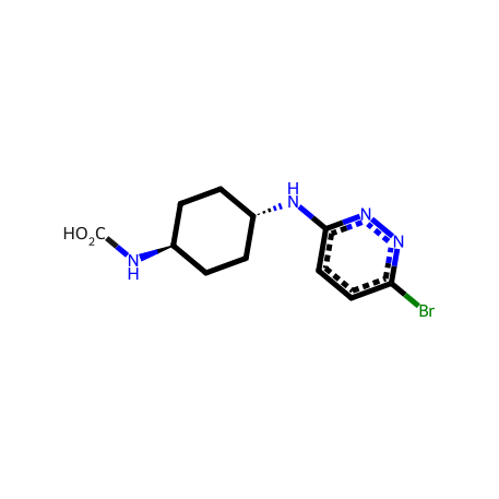 O=C(O)N[C@H]1CC[C@H](Nc2ccc(Br)nn2)CC1